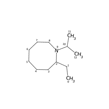 CCC1CCCCCCN1C(C)C